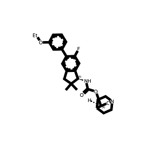 CCOc1cccc(-c2cc3c(cc2F)[C@H](NC(=O)O[C@H]2CN4CCC2CC4)C(C)(C)C3)c1